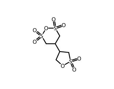 O=S1(=O)CC(C2CS(=O)(=O)OS(=O)(=O)C2)CO1